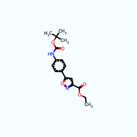 CCOC(=O)c1cc(-c2ccc(NC(=O)OC(C)(C)C)cc2)on1